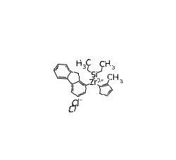 CC[Si](CC)=[Zr+2]([C]1=C(C)C=CC1)[c]1cccc2c1Cc1ccccc1-2.[Cl-].[Cl-]